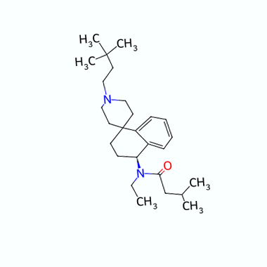 CCN(C(=O)CC(C)C)[C@H]1CCC2(CCN(CCC(C)(C)C)CC2)c2ccccc21